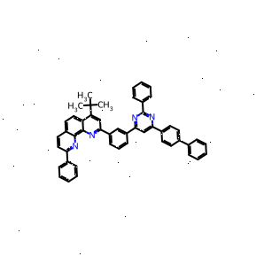 CC(C)(C)c1cc(-c2cccc(-c3cc(-c4ccc(-c5ccccc5)cc4)nc(-c4ccccc4)n3)c2)nc2c1ccc1ccc(-c3ccccc3)nc12